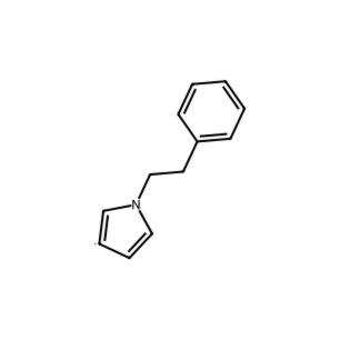 [c]1ccn(CCc2ccccc2)c1